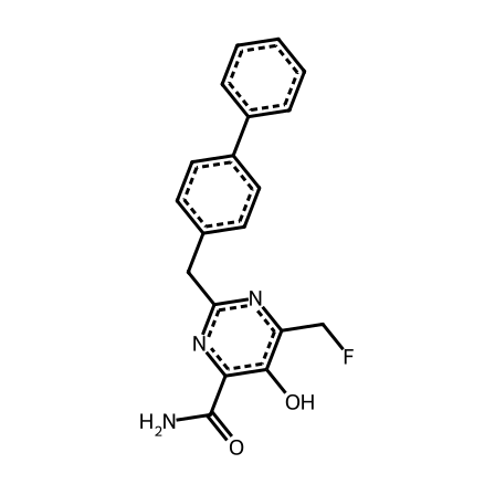 NC(=O)c1nc(Cc2ccc(-c3ccccc3)cc2)nc(CF)c1O